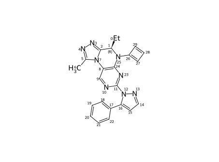 CC[C@@H]1c2nnc(C)n2-c2cnc(-n3nccc3-c3ccccc3)nc2N1C1=CC=C1